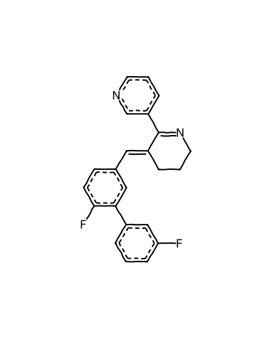 Fc1cccc(-c2cc(C=C3CCCN=C3c3cccnc3)ccc2F)c1